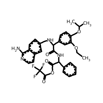 CCOc1cc(C(Nc2ccc3c(N)nccc3c2)C(=O)NC(C(=O)OC(=O)C(F)(F)F)c2ccccc2)ccc1OC(C)C